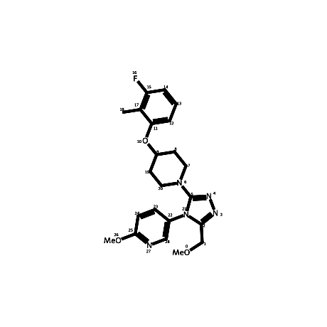 COCc1nnc(N2CCC(Oc3cccc(F)c3C)CC2)n1-c1ccc(OC)nc1